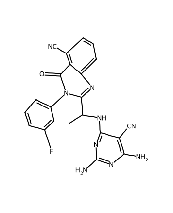 CC(Nc1nc(N)nc(N)c1C#N)c1nc2cccc(C#N)c2c(=O)n1-c1cccc(F)c1